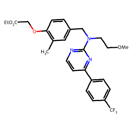 CCOC(=O)COc1ccc(CN(CCOC)c2nccc(-c3ccc(C(F)(F)F)cc3)n2)cc1C